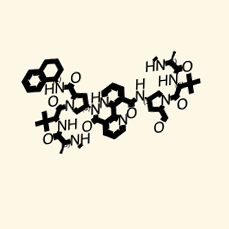 CN[C@@H](C)C(=O)NC(C(=O)N1C[C@@H](NC(=O)c2cccnc2-c2ncccc2C(=O)N[C@H]2CC(C=O)N(C(=O)[C@@H](NC(=O)[C@H](C)NC)C(C)(C)C)C2)CC1C(=O)N[C@@H]1CCCc2ccccc21)C(C)(C)C